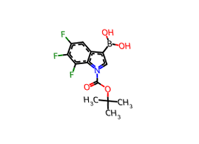 CC(C)(C)OC(=O)n1cc(B(O)O)c2cc(F)c(F)c(F)c21